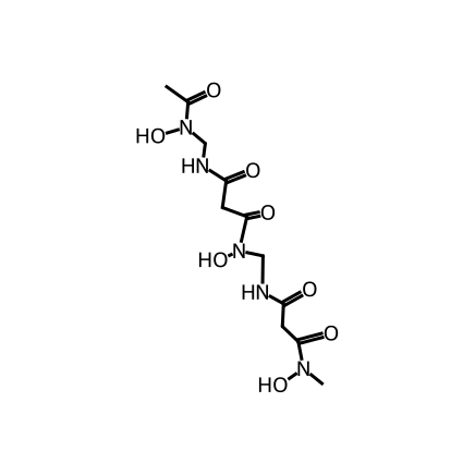 CC(=O)N(O)CNC(=O)CC(=O)N(O)CNC(=O)CC(=O)N(C)O